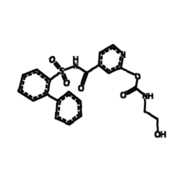 O=C(NCCO)Oc1cc(C(=O)NS(=O)(=O)c2ccccc2-c2ccccc2)ccn1